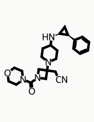 N#CCC1(N2CCC(N[C@@H]3C[C@H]3c3ccccc3)CC2)CN(C(=O)N2CCOCC2)C1